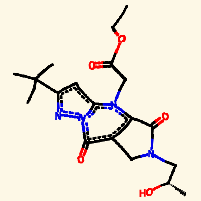 CCOC(=O)Cn1c2c(c(=O)n3nc(C(C)(C)C)cc13)CN(C[C@H](C)O)C2=O